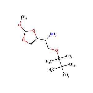 COC1OC[C@H]([C@H](N)CO[Si](C)(C)C(C)(C)C)O1